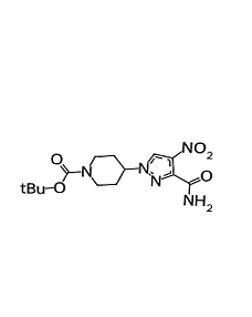 CC(C)(C)OC(=O)N1CCC(n2cc([N+](=O)[O-])c(C(N)=O)n2)CC1